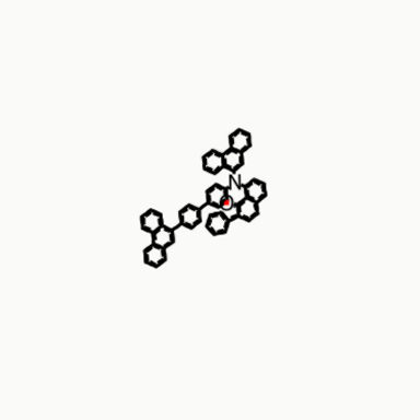 c1ccc2c(c1)cc(-c1ccc(-c3ccc(N(c4cc5ccccc5c5ccccc45)c4cccc5ccc6c7ccccc7oc6c45)cc3)cc1)c1ccccc12